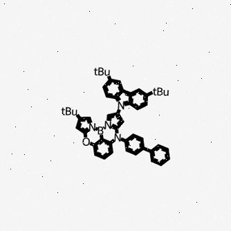 CC(C)(C)c1ccc2c(c1)c1cc(C(C)(C)C)ccc1n2-c1cc2n(c1)B1c3c(cccc3N2c2ccc(-c3ccccc3)cc2)Oc2cc(C(C)(C)C)cn21